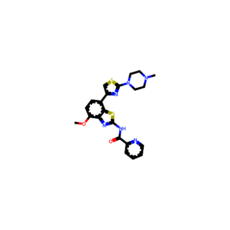 COc1ccc(-c2csc(N3CCN(C)CC3)n2)c2sc(NC(=O)c3ccccn3)nc12